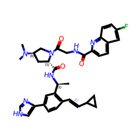 C[C@H](NC(=O)[C@@H]1C[C@@H](N(C)C)CN1C(=O)CNC(=O)c1ccc2cc(F)ccc2n1)c1cc(-c2c[nH]cn2)ccc1/C=C/C1CC1